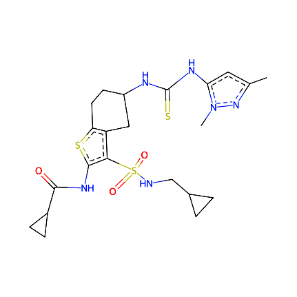 Cc1cc(NC(=S)NC2CCc3sc(NC(=O)C4CC4)c(S(=O)(=O)NCC4CC4)c3C2)n(C)n1